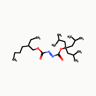 CCCCC(CC)COC(=O)N=NC(=O)O[Si](CC(C)C)(CC(C)C)CC(C)C